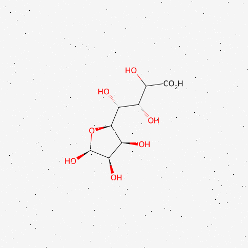 O=C(O)C(O)[C@H](O)[C@@H](O)[C@@H]1O[C@H](O)[C@H](O)[C@@H]1O